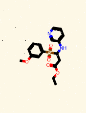 CCOC(=O)CC(Nc1cccnc1)S(=O)(=O)c1cccc(OC)c1